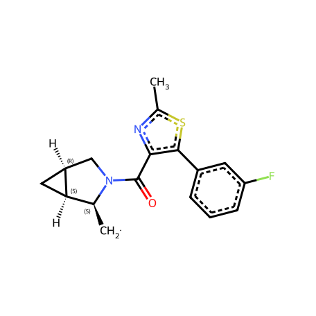 [CH2][C@H]1[C@H]2C[C@H]2CN1C(=O)c1nc(C)sc1-c1cccc(F)c1